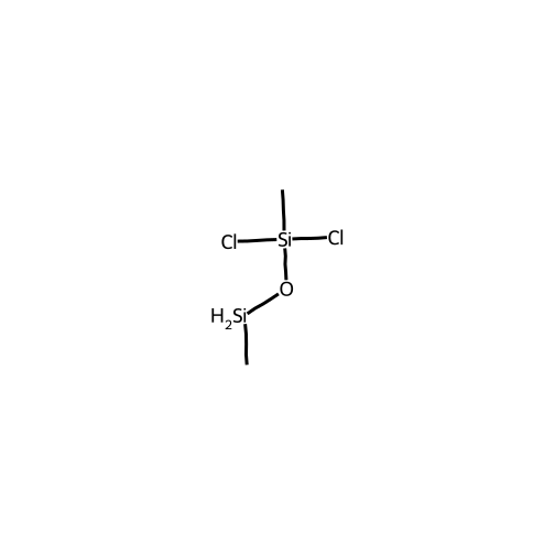 C[SiH2]O[Si](C)(Cl)Cl